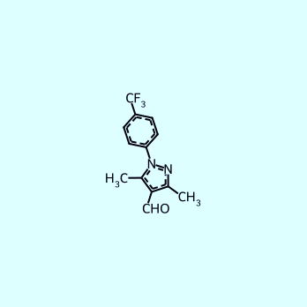 Cc1nn(-c2ccc(C(F)(F)F)cc2)c(C)c1C=O